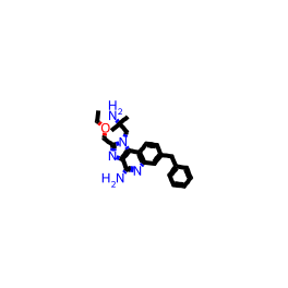 CCOCc1nc2c(N)nc3cc(Cc4ccccc4)ccc3c2n1CC(C)(C)N